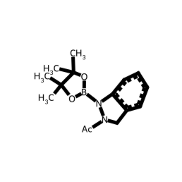 CC(=O)N1Cc2ccccc2N1B1OC(C)(C)C(C)(C)O1